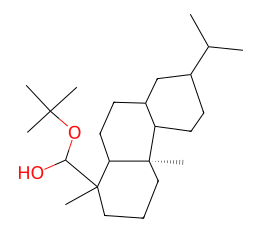 CC(C)C1CCC2C(CCC3C(C)(C(O)OC(C)(C)C)CCC[C@]23C)C1